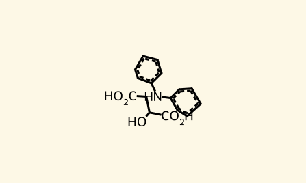 O=C(O)CC(O)C(=O)O.c1ccc(Nc2ccccc2)cc1